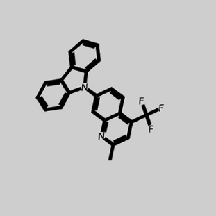 Cc1cc(C(F)(F)F)c2ccc(-n3c4ccccc4c4ccccc43)cc2n1